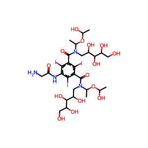 CC(O)OC(C)N(CC(O)C(O)C(O)CO)C(=O)c1c(I)c(NC(=O)CN)c(I)c(C(=O)N(CC(O)C(O)C(O)CO)C(C)OC(C)O)c1I